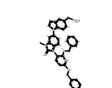 Cn1c(=O)n(-c2ccc(OCc3ccccc3)nc2OCc2ccccc2)c2ccc(-n3ccc4cc(CC(=O)O)ccc43)cc21